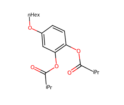 CCCCCCOc1ccc(OC(=O)C(C)C)c(OC(=O)C(C)C)c1